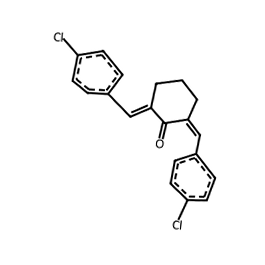 O=C1C(=Cc2ccc(Cl)cc2)CCCC1=Cc1ccc(Cl)cc1